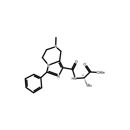 COC(=O)[C@@H](NC(=O)c1nc(-c2ccccc2)n2c1CN(C)CC2)C(C)(C)C